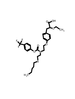 CCCCCSCCN(CCOc1ccc(CC(OCC)C(=O)O)cc1)C(=O)Oc1ccc(C(F)(F)F)cc1